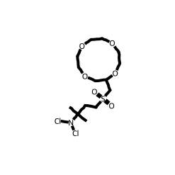 CC(C)(CCS(=O)(=O)CC1COCCOCCOCCO1)N(Cl)Cl